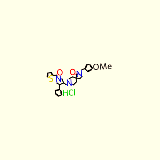 COc1ccc(CN2CCC3(CCN(CC4CN(C(=O)c5cccs5)CC4c4ccccc4)CC3)C2=O)cc1.Cl